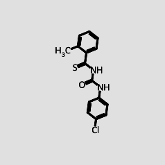 Cc1ccccc1C(=S)NC(=O)Nc1ccc(Cl)cc1